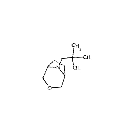 CC(C)(C)CN1C2CCC1COC2